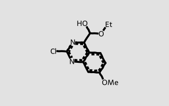 CCOC(O)c1nc(Cl)nc2cc(OC)ccc12